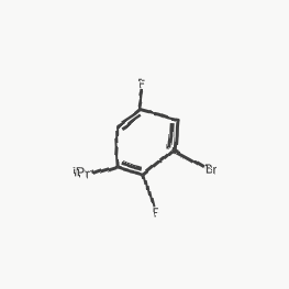 CC(C)c1cc(F)cc(Br)c1F